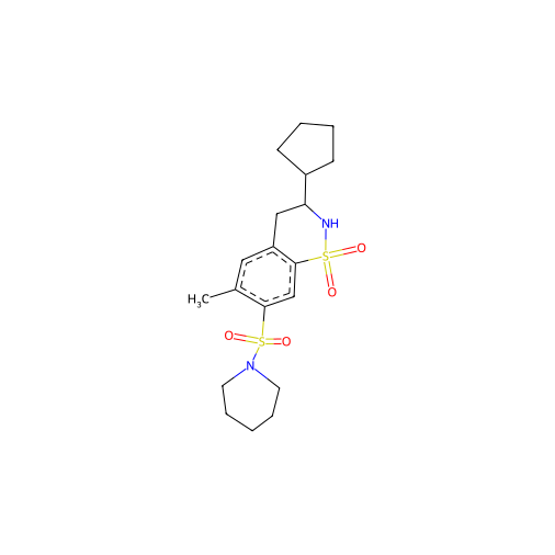 Cc1cc2c(cc1S(=O)(=O)N1CCCCC1)S(=O)(=O)NC(C1CCCC1)C2